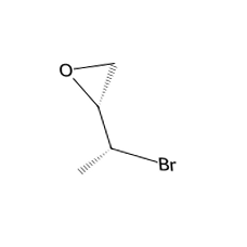 C[C@@H](Br)[C@H]1CO1